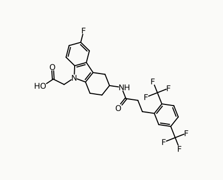 O=C(O)Cn1c2c(c3cc(F)ccc31)CC(NC(=O)CCc1cc(C(F)(F)F)ccc1C(F)(F)F)CC2